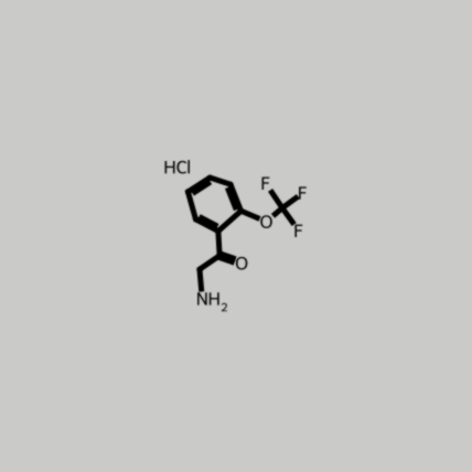 Cl.NCC(=O)c1ccccc1OC(F)(F)F